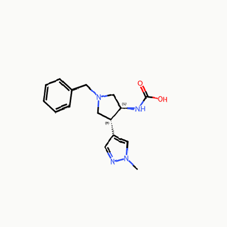 Cn1cc([C@@H]2CN(Cc3ccccc3)C[C@H]2NC(=O)O)cn1